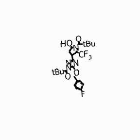 CC(C)(C)C(=O)N1C(O)CC(c2nc(OCc3ccc(F)cc3)n(C(=O)C(C)(C)C)n2)C1C(F)(F)F